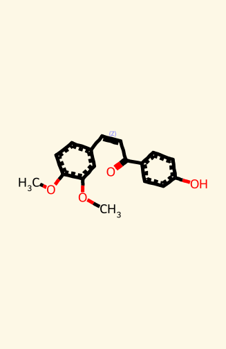 COc1ccc(/C=C\C(=O)c2ccc(O)cc2)cc1OC